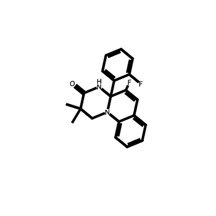 CC1(C)CN2c3ccccc3C=C(F)C2(c2ccccc2F)NC1=O